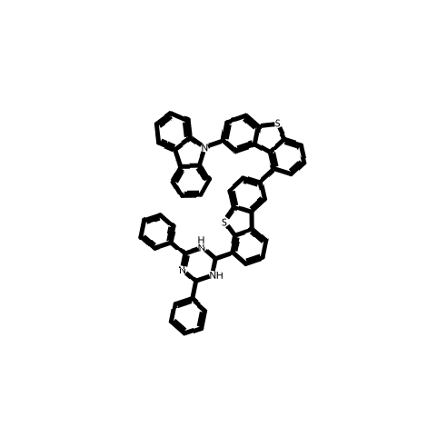 c1ccc(C2=NC(c3ccccc3)NC(c3cccc4c3sc3ccc(-c5cccc6sc7ccc(-n8c9ccccc9c9ccccc98)cc7c56)cc34)N2)cc1